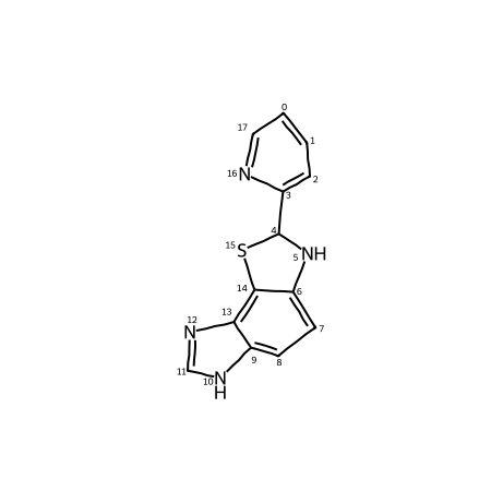 c1ccc(C2Nc3ccc4[nH]cnc4c3S2)nc1